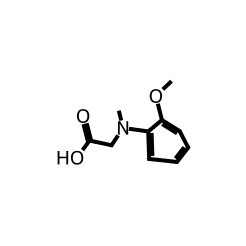 COc1ccccc1N(C)CC(=O)O